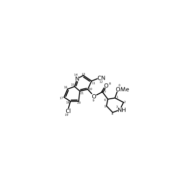 COC1CNCCC1C(=O)Oc1c(C#N)cnc2ccc(Cl)cc12